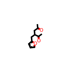 CC(=O)CC(Cc1ccco1)C(C)=O